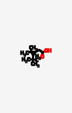 CC(C)(C)C1C(CC(=O)O)C1(C)C